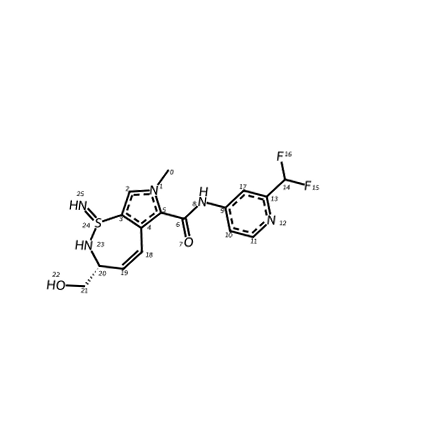 Cn1cc2c(c1C(=O)Nc1ccnc(C(F)F)c1)C=C[C@H](CO)NS2=N